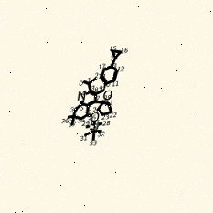 CC(C)c1nc2c(c3c1[C@@H](c1ccc(C4CC4)cc1)OC31CCCC1)C(O[Si](C)(C)C(C)(C)C)CC(C)(C)C2